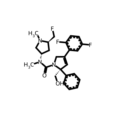 CN1C[C@@H](N(C)C(=O)N2CC(c3cc(F)ccc3F)=C[C@@]2(CO)c2ccccc2)C[C@@H]1CF